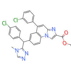 CCOC(=O)c1cn2c(cc(-c3cccc(Cl)c3)c3cc(C(c4ccc(Cl)cc4)c4nncn4C)ccc32)n1